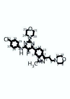 Cn1nc(CCN2CCOCC2)c2ccc(-c3nc(N4CCOCC4)nc(Nc4ccc(Cl)cc4)c3F)cc21